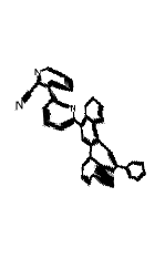 N#Cc1ncccc1-c1cccc(-c2cc3c4ccccc4c(-c4ccccc4)cc3c3ccccc23)n1